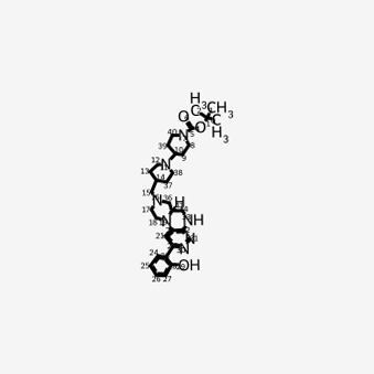 CC(C)(C)OC(=O)N1CCC(N2CCC(CN3CCN4c5cc(-c6ccccc6O)nnc5NC[C@H]4C3)CC2)CC1